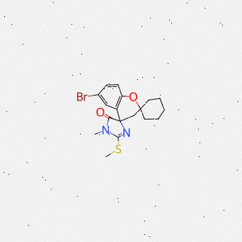 CSC1=NC2(CC3(CCCCC3)Oc3ccc(Br)cc32)C(=O)N1C